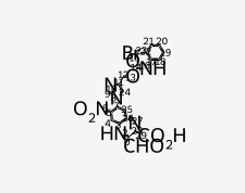 O=CC1Nc2cc([N+](=O)[O-])c(-n3cnc(COC(=O)Nc4ccccc4Br)c3)cc2N=C1C(=O)O